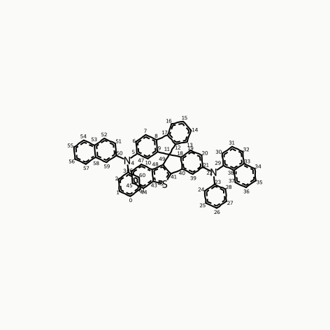 c1ccc(N(c2ccc3c(c2)C2(c4ccccc4-3)c3ccc(N(c4ccccc4)c4cccc5ccccc45)cc3-c3sc4ccccc4c32)c2ccc3ccccc3c2)cc1